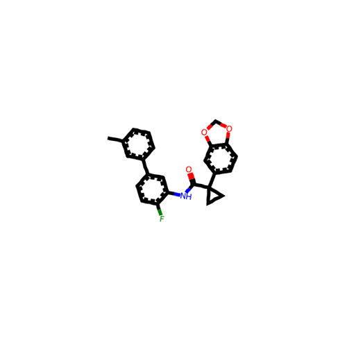 Cc1cccc(-c2ccc(F)c(NC(=O)C3(c4ccc5c(c4)OCO5)CC3)c2)c1